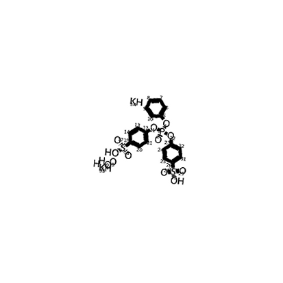 O.O.O=P(Oc1ccccc1)(Oc1ccc(S(=O)(=O)O)cc1)Oc1ccc(S(=O)(=O)O)cc1.[KH].[KH]